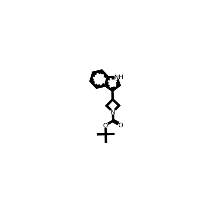 CC(C)(C)OC(=O)N1CC(c2c[nH]c3ccccc23)C1